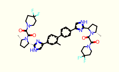 Cc1cc(-c2c[nH]c([C@@H]3CC[C@H](C)N3C(=O)C(=O)N3CCC(F)(F)CC3)n2)ccc1-c1ccc(-c2c[nH]c(C3CC[C@H](C)N3C(=O)C(=O)N3CCC(F)(F)CC3)n2)cc1